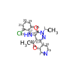 CCn1nc(-c2ccncc2)c(C(C)=O)c(Nc2ccccc2Cl)c1=O